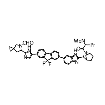 CNC(C(=O)N1C2CCC(C2)C1c1nc2ccc(-c3ccc4c(c3)C(F)(F)c3cc(-c5cnc(C6CC7(CC7)CN6C=O)[nH]5)ccc3-4)cc2[nH]1)C(C)C